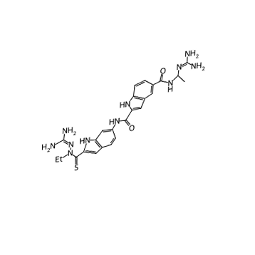 CCN(N=C(N)N)C(=S)c1cc2ccc(NC(=O)c3cc4cc(C(=O)NC(C)N=C(N)N)ccc4[nH]3)cc2[nH]1